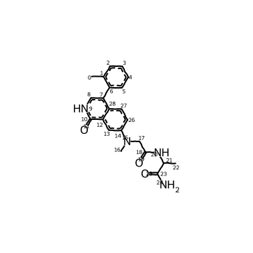 Cc1ccccc1-c1c[nH]c(=O)c2cc(N(C)CC(=O)NC(C)C(N)=O)ccc12